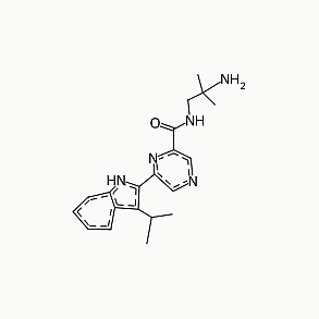 CC(C)c1c(-c2cncc(C(=O)NCC(C)(C)N)n2)[nH]c2ccccc12